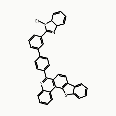 CCN1C(c2cccc(-c3ccc(-c4nc5ccccc5c5c4ccc4c6ccccc6sc45)cc3)c2)=NC2C=CC=CC21